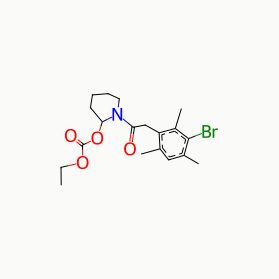 CCOC(=O)OC1CCCCN1C(=O)Cc1c(C)cc(C)c(Br)c1C